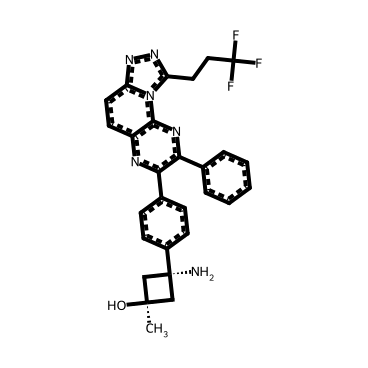 C[C@]1(O)C[C@@](N)(c2ccc(-c3nc4ccc5nnc(CCC(F)(F)F)n5c4nc3-c3ccccc3)cc2)C1